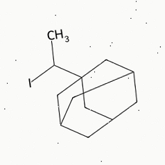 CC(I)C12CC3CC(CC(C3)C1)C2